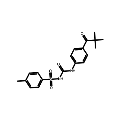 Cc1ccc(S(=O)(=O)NC(=O)Nc2ccc(C(=O)C(C)(C)C)cc2)cc1